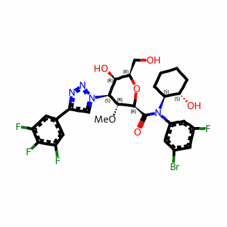 CO[C@@H]1[C@@H](n2cc(-c3cc(F)c(F)c(F)c3)nn2)[C@@H](O)[C@@H](CO)O[C@H]1C(=O)N(c1cc(F)cc(Br)c1)[C@H]1CCCC[C@@H]1O